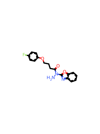 NN(C(=O)CCCOc1ccc(F)cc1)c1nc2ccccc2o1